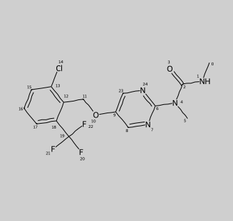 CNC(=O)N(C)c1ncc(OCc2c(Cl)cccc2C(F)(F)F)cn1